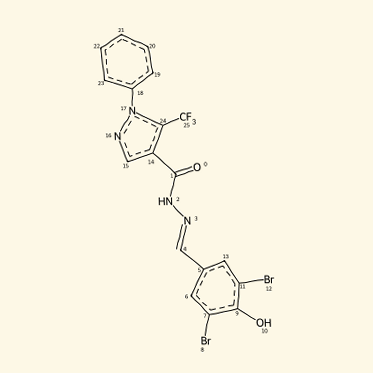 O=C(NN=Cc1cc(Br)c(O)c(Br)c1)c1cnn(-c2ccccc2)c1C(F)(F)F